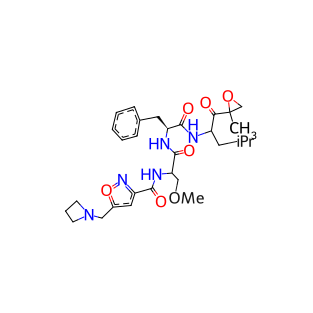 COCC(NC(=O)c1cc(CN2CCC2)on1)C(=O)N[C@@H](Cc1ccccc1)C(=O)NC(CC(C)C)C(=O)C1(C)CO1